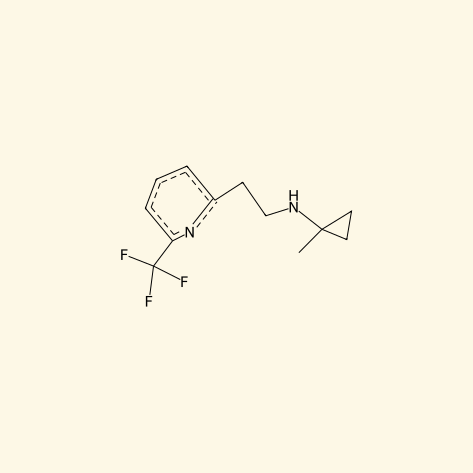 CC1(NCCc2cccc(C(F)(F)F)n2)CC1